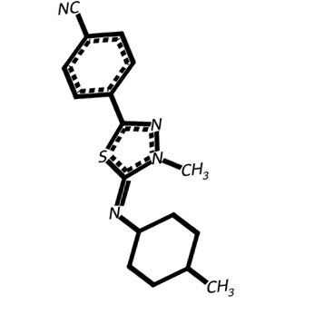 CC1CCC(N=c2sc(-c3ccc(C#N)cc3)nn2C)CC1